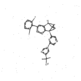 CC(C)(O)c1cn(-c2cncc([C@@]34CC[C@@H](c5cc(-c6c(F)cccc6F)nnc53)C4(C)C)n2)cn1